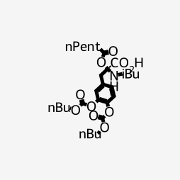 CCCCCC(=O)O[C@](Cc1ccc(OC(=O)OCCCC)c(OC(=O)OCCCC)c1)(NC(C)CC)C(=O)O